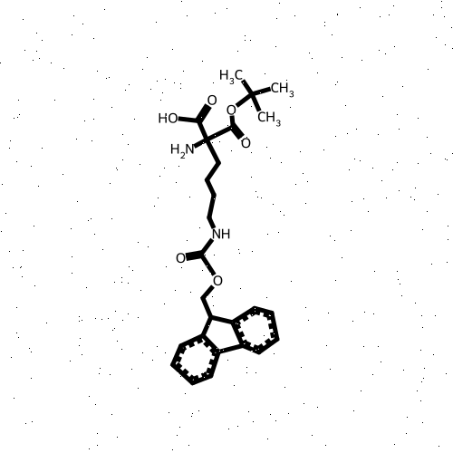 CC(C)(C)OC(=O)C(N)(CCCCNC(=O)OCC1c2ccccc2-c2ccccc21)C(=O)O